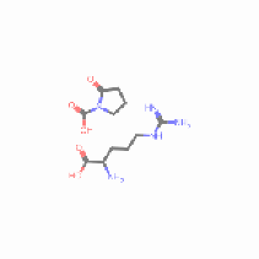 N=C(N)NCCCC(N)C(=O)O.O=C(O)N1CCCC1=O